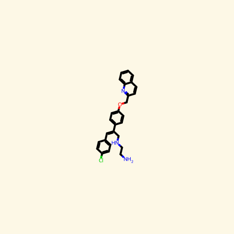 NCCNCC(=Cc1ccc(Cl)cc1)c1ccc(OCc2ccc3ccccc3n2)cc1